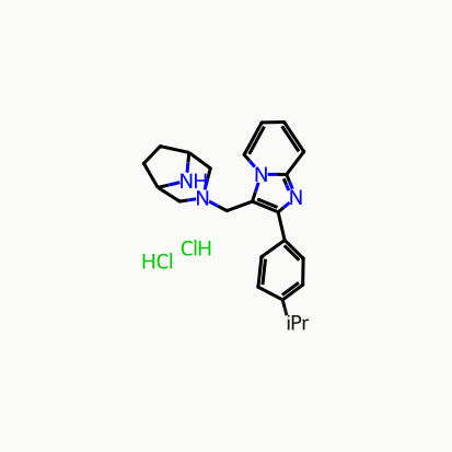 CC(C)c1ccc(-c2nc3ccccn3c2CN2CC3CCC(C2)N3)cc1.Cl.Cl